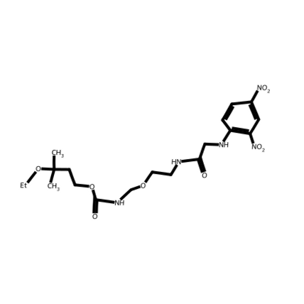 CCOC(C)(C)CCOC(=O)NCOCCNC(=O)CNc1ccc([N+](=O)[O-])cc1[N+](=O)[O-]